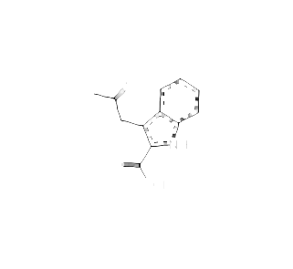 CC(=O)Cc1c(C(=O)O)[nH]c2ccccc12